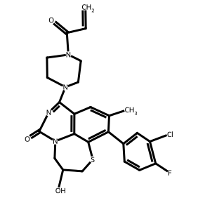 C=CC(=O)N1CCN(c2nc(=O)n3c4c(c(-c5ccc(F)c(Cl)c5)c(C)cc24)SCC(O)C3)CC1